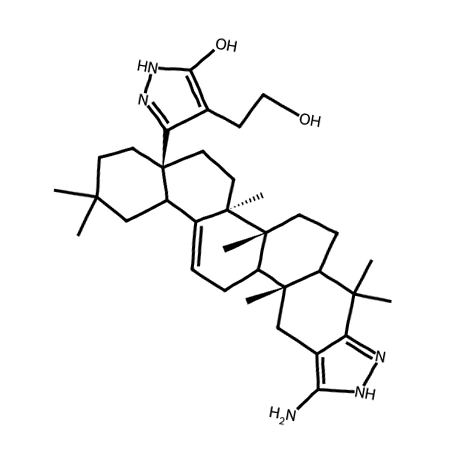 CC1(C)CC[C@]2(c3n[nH]c(O)c3CCO)CC[C@]3(C)C(=CCC4[C@@]5(C)Cc6c(n[nH]c6N)C(C)(C)C5CC[C@]43C)C2C1